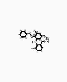 CCNCc1cccc(C)c1Pc1cc(C)cc(C)c1OCc1ccccc1